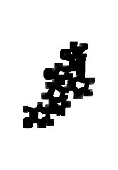 Cn1cc(-n2ncc3cc(N4C(=O)C[C@@H](NC(=O)C(C)(F)F)[C@@H]4c4ccccc4F)ccc32)ccc1=O